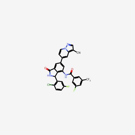 N#Cc1cnn2ccc(-c3cc(NC(=O)c4cc(F)cc(C(F)(F)F)c4)c4c(c3)C(=O)NC4c3cc(F)ccc3Cl)cc12